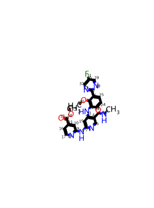 CNC(=O)c1cnc(Nc2cc(C(=O)OC)ccn2)cc1Nc1cccc(-c2ncc(F)cn2)c1OC